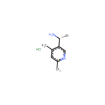 CC[C@@H](N)c1cnc(C(F)(F)F)cc1C(F)(F)F.Cl